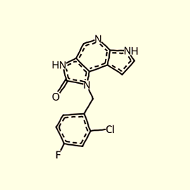 O=c1[nH]c2cnc3[nH]ccc3c2n1Cc1ccc(F)cc1Cl